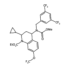 CCOC(=O)N1c2cc(OC(F)(F)F)ccc2C(N(Cc2cc(C(F)(F)F)cc(C(F)(F)F)c2)C(=O)OC)CC1C1CC1